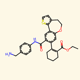 CCOC(=O)C1=C(c2cc3c(cc2C(=O)Nc2ccc(CN)cc2)-c2sccc2CCO3)CCCC1